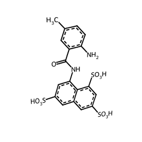 Cc1ccc(N)c(C(=O)Nc2cc(S(=O)(=O)O)cc3cc(S(=O)(=O)O)cc(S(=O)(=O)O)c23)c1